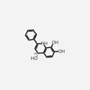 Oc1ccc2c(c1O)NC(c1ccccc1)=C[C@H]2O